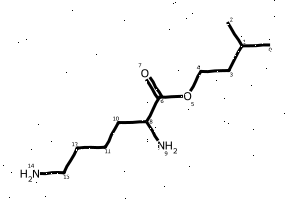 CC(C)CCOC(=O)C(N)CCCCN